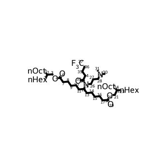 CCCCCCCCC(CCCCCC)COC(=O)CCCCCC(CCCCCC(=O)OCC(CCCCCC)CCCCCCCC)N(CCCN(C)C)C(=O)CCCC(F)(F)F